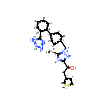 CCCc1nc(C(=O)Cc2ccsc2)nn1Cc1ccc(-c2ccccc2-c2nnn[nH]2)cc1